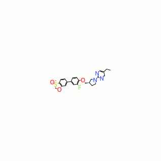 CCc1cnc(N2CC[C@@H](COc3ccc(-c4ccc5c(c4)OC[S@+]5[O-])cc3F)C2)nc1